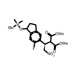 COC(=O)C(C(=O)OC)[C@@H](C[N+](=O)[O-])c1cc2c(cc1F)C(O[Si](C)(C)C(C)(C)C)CC2